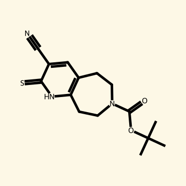 CC(C)(C)OC(=O)N1CCc2cc(C#N)c(=S)[nH]c2CC1